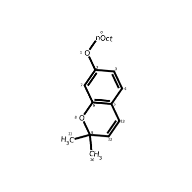 CCCCCCCCOc1ccc2c(c1)OC(C)(C)C=C2